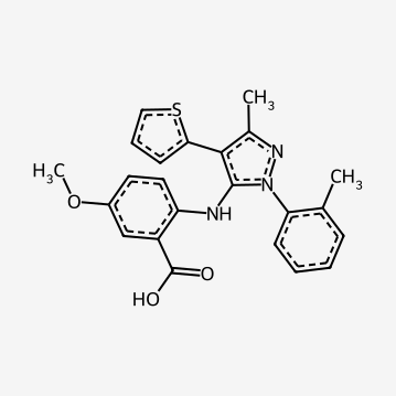 COc1ccc(Nc2c(-c3cccs3)c(C)nn2-c2ccccc2C)c(C(=O)O)c1